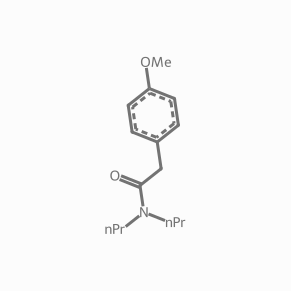 CCCN(CCC)C(=O)Cc1ccc(OC)cc1